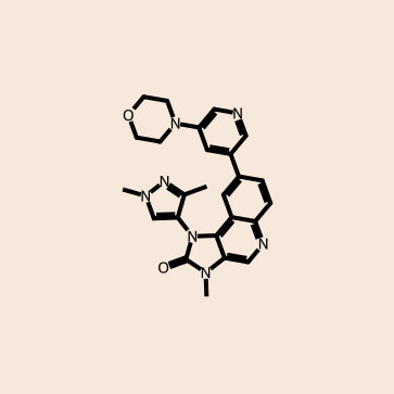 Cc1nn(C)cc1-n1c(=O)n(C)c2cnc3ccc(-c4cncc(N5CCOCC5)c4)cc3c21